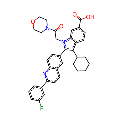 O=C(O)c1ccc2c(C3CCCCC3)c(-c3ccc4nc(-c5cccc(F)c5)ccc4c3)n(CC(=O)N3CCOCC3)c2c1